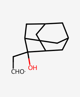 O=[C]CC1(O)C2CC3CC(C2)CC1C3